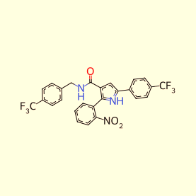 O=C(NCc1ccc(C(F)(F)F)cc1)c1cc(-c2ccc(C(F)(F)F)cc2)[nH]c1-c1ccccc1[N+](=O)[O-]